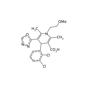 COCCN1C(C)=C(C(=O)O)C(c2cccc(Cl)c2Cl)C(c2nnco2)=C1C